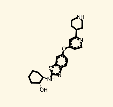 O[C@@H]1CCCC[C@H]1Nc1nc2ccc(Oc3ccnc(C4CCNCC4)c3)cc2s1